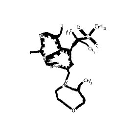 CC1COCCN1c1cc(C(C)(C)S(C)(=O)=O)c2c(I)nc(I)n2n1